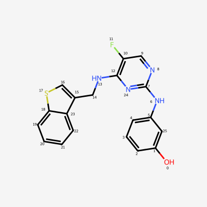 Oc1cccc(Nc2ncc(F)c(NCc3csc4ccccc34)n2)c1